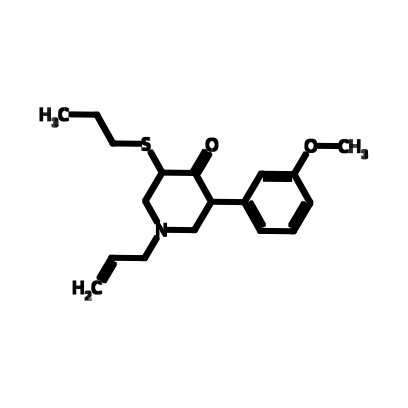 C=CCN1CC(SCCC)C(=O)C(c2cccc(OC)c2)C1